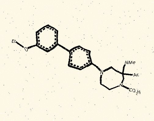 CCOc1cccc(-c2ccc(N3CCN(C(=O)O)C(NC)(C(C)=O)C3)cc2)c1